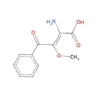 COC(C(=O)c1ccccc1)=C(N)C(=O)O